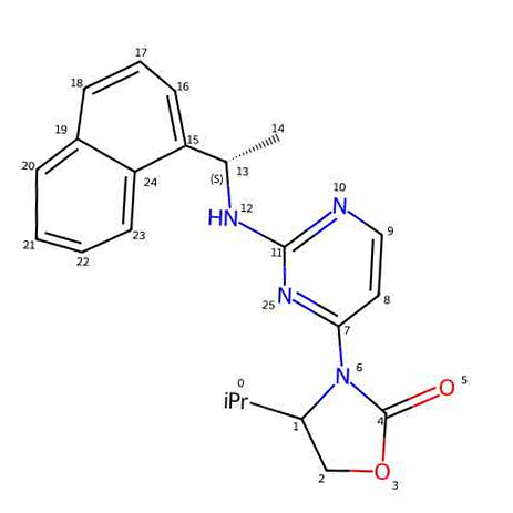 CC(C)C1COC(=O)N1c1ccnc(N[C@@H](C)c2cccc3ccccc23)n1